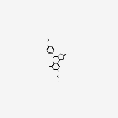 C=C1C[C@H]2[C@@H](C1)c1cc(OCOC)cc(Br)c1O[C@H]2c1ccc(OCOC)cc1